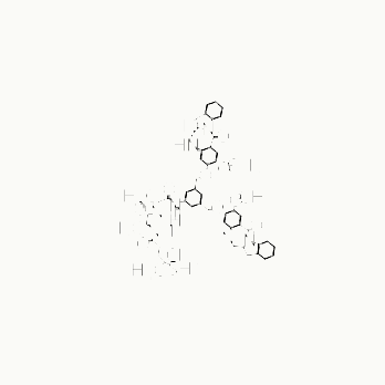 COc1cc2c(cc1OCc1cc(COc3cc4c(cc3OC)C(=O)N3c5ccccc5C[C@H]3CN4)cc(NC(=O)[C@H](C)NC(=O)[C@H](C)NC(=O)CCC(C)(C)S)c1)N=CC1Cc3ccccc3N1C2=O